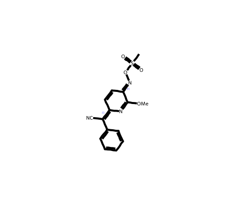 COC1=NC(=C(/C#N)c2ccccc2)/C=CC/1=N\OS(C)(=O)=O